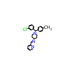 Cc1ccc(C(c2cccc(Cl)c2)N2CCC(N=Cc3ccccn3)CC2)cc1